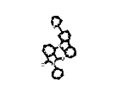 O=C1c2cccc(-n3c4ccccc4c4ccc(-c5ccccn5)cc43)c2C(=O)N1c1ccccc1